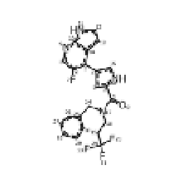 O=C(c1cc(-c2c(F)cnc3[nH]ccc23)c[nH]1)N(CCC(F)(F)F)Cc1ccccc1